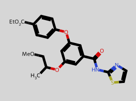 CCOC(=O)c1ccc(Oc2cc(OC(C)COC)cc(C(=O)Nc3nccs3)c2)cc1